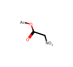 CC(=O)OC(=O)C[N+](=O)[O-]